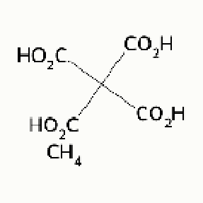 C.O=C(O)C(C(=O)O)(C(=O)O)C(=O)O